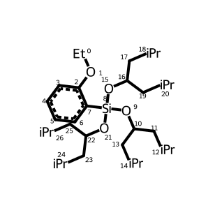 CCOc1ccccc1[Si](OC(CC(C)C)CC(C)C)(OC(CC(C)C)CC(C)C)OC(CC(C)C)CC(C)C